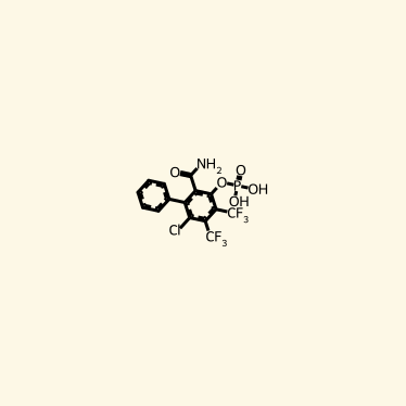 NC(=O)c1c(OP(=O)(O)O)c(C(F)(F)F)c(C(F)(F)F)c(Cl)c1-c1ccccc1